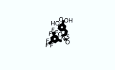 O=C(O)c1cc(C=C2SC(=O)N(Cc3cc(C(F)(F)F)cc(C(F)(F)F)c3)C2=O)ccc1O